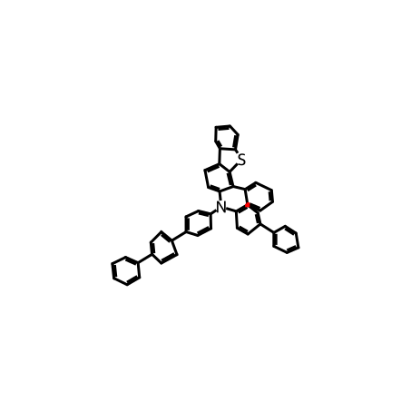 c1ccc(-c2ccc(-c3ccc(N(c4ccc(-c5ccccc5)cc4)c4ccc5c(sc6ccccc65)c4-c4ccccc4)cc3)cc2)cc1